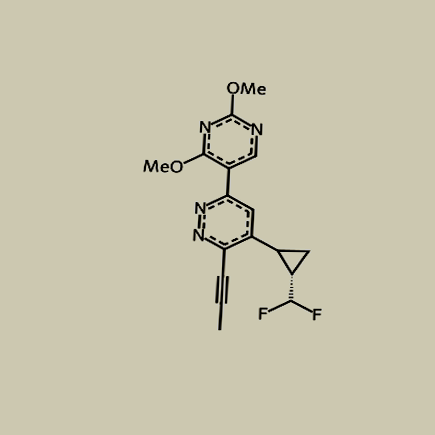 CC#Cc1nnc(-c2cnc(OC)nc2OC)cc1C1C[C@@H]1C(F)F